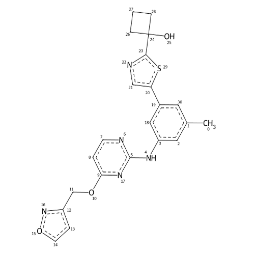 Cc1cc(Nc2nccc(OCc3ccon3)n2)cc(-c2cnc(C3(O)CCC3)s2)c1